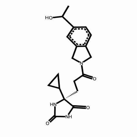 CC(O)c1ccc2c(c1)CN(C(=O)CC[C@@]1(C3CC3)NC(=O)NC1=O)C2